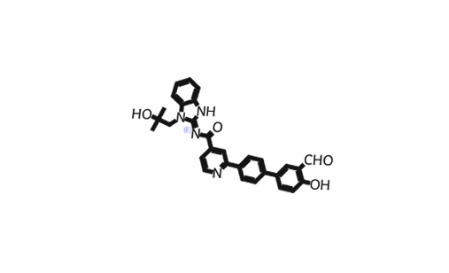 CC(C)(O)Cn1/c(=N/C(=O)c2ccnc(-c3ccc(-c4ccc(O)c(C=O)c4)cc3)c2)[nH]c2ccccc21